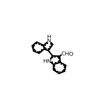 O=Cc1c(-c2c[nH]c3ccccc23)[nH]c2ccccc12